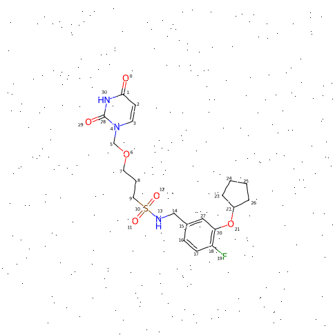 O=c1ccn(COCCCS(=O)(=O)NCc2ccc(F)c(OC3CCCC3)c2)c(=O)[nH]1